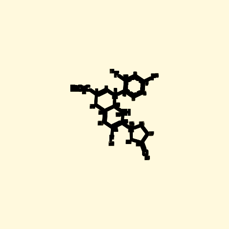 CCOC(=O)C1=CN(c2ccc(F)cc2F)C2NC(N3CCC(=O)C3)=C(F)C=C2C1